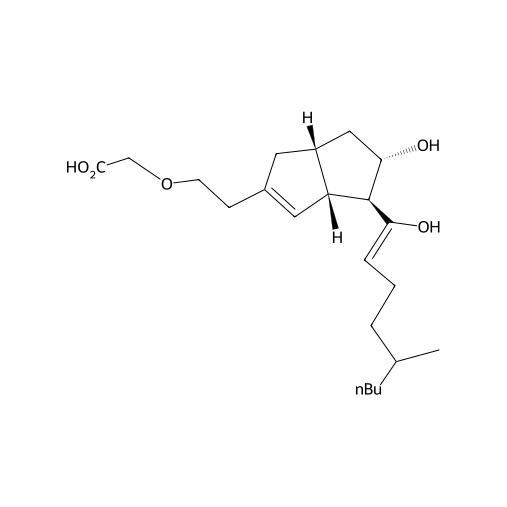 CCCCC(C)CCC=C(O)[C@H]1[C@@H]2C=C(CCOCC(=O)O)C[C@@H]2C[C@@H]1O